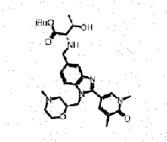 Cc1cc(-c2nc3cc(CN[C@H](C(=O)OCC(C)C)[C@@H](C)O)ccc3n2C[C@@H]2CN(C)CCO2)cn(C)c1=O